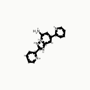 Nc1cc(-c2ccccn2)cc2nc(-c3ccccn3)nn12